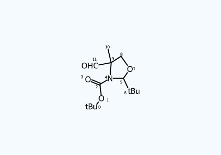 CC(C)(C)OC(=O)N1C(C(C)(C)C)OCC1(C)C=O